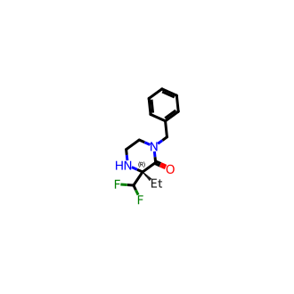 CC[C@@]1(C(F)F)NCCN(Cc2ccccc2)C1=O